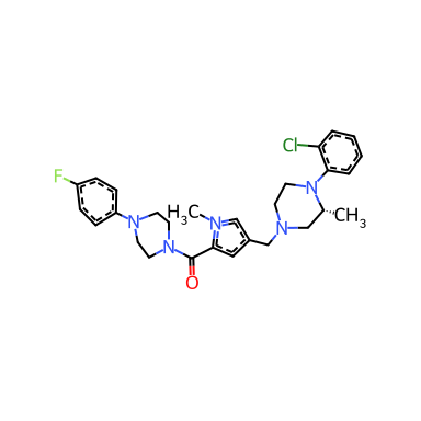 C[C@@H]1CN(Cc2cc(C(=O)N3CCN(c4ccc(F)cc4)CC3)n(C)c2)CCN1c1ccccc1Cl